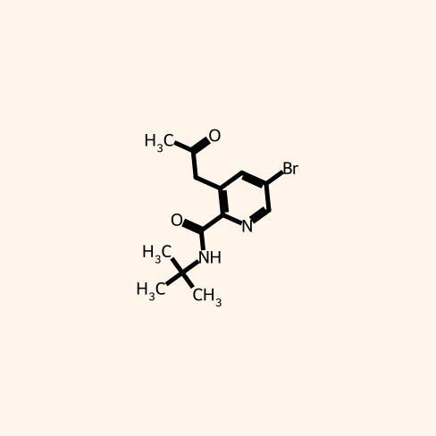 CC(=O)Cc1cc(Br)cnc1C(=O)NC(C)(C)C